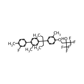 CCC(CC)(c1ccc(OCC(O)(C(F)(F)F)C(F)(F)F)c(C)c1)c1ccc(-c2ccc(C)c(F)c2)c(C)c1